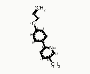 C=CCOc1ccc(-c2ccc(C)cn2)cc1